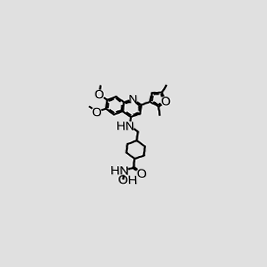 COc1cc2nc(-c3cc(C)oc3C)cc(NCC3CCC(C(=O)NO)CC3)c2cc1OC